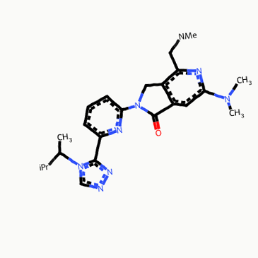 CNCc1nc(N(C)C)cc2c1CN(c1cccc(-c3nncn3C(C)C(C)C)n1)C2=O